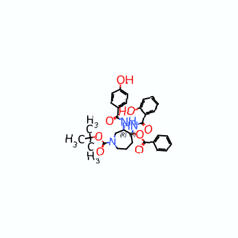 CC(C)(C)OC(=O)N1CCC[C@@](NC(=O)c2ccccc2O)(OC(=O)c2ccccc2)[C@H](NC(=O)c2ccc(O)cc2)C1